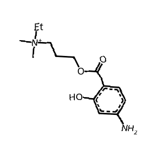 CC[N+](C)(C)CCCOC(=O)c1ccc(N)cc1O